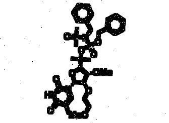 COCCO[C@@H]1[C@H](OC)C(C(C)(C)OP(=O)(OCc2ccccc2)N(Cc2ccccc2)P(C)(C)=O)O[C@H]1n1cc(C)c(=O)[nH]c1=O